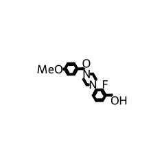 COc1ccc(C(=O)N2CCN(c3cccc(CO)c3F)CC2)cc1